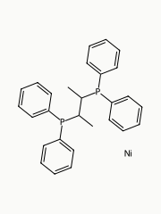 CC(C(C)P(c1ccccc1)c1ccccc1)P(c1ccccc1)c1ccccc1.[Ni]